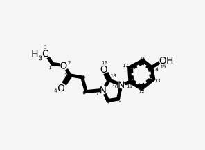 CCOC(=O)CCN1CCN(c2ccc(O)cc2)C1=O